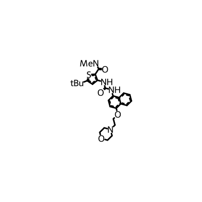 CNC(=O)c1sc(C(C)(C)C)cc1NC(=O)Nc1ccc(OCCN2CCOCC2)c2ccccc12